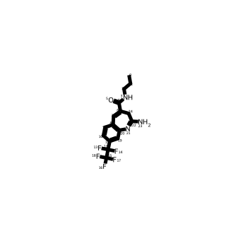 CCCNC(=O)C1=Cc2ccc(C(F)(F)C(F)(F)F)cc2N=C(N)C1